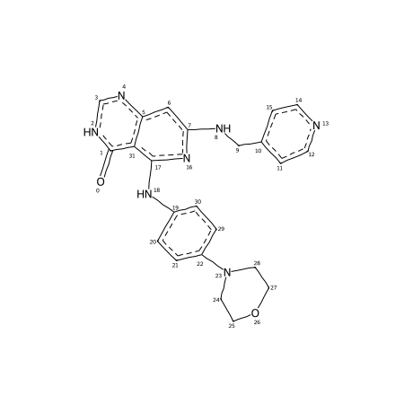 O=c1[nH]cnc2cc(NCc3ccncc3)nc(Nc3ccc(N4CCOCC4)cc3)c12